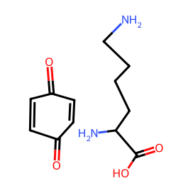 NCCCCC(N)C(=O)O.O=C1C=CC(=O)C=C1